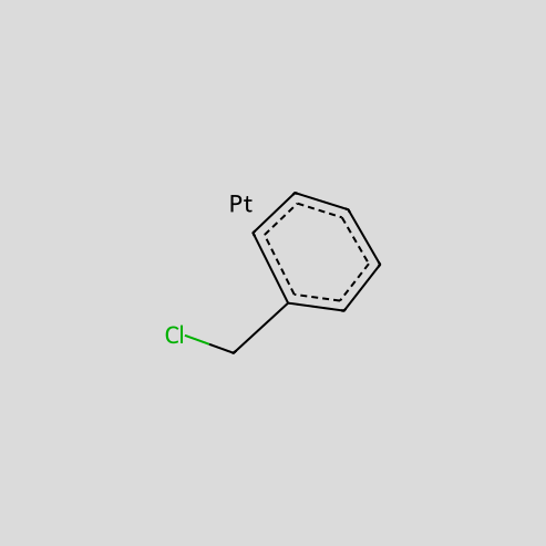 ClCc1ccccc1.[Pt]